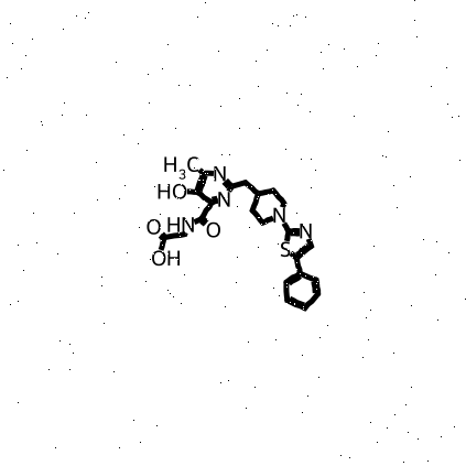 Cc1nc(CC2CCN(c3ncc(-c4ccccc4)s3)CC2)nc(C(=O)NCC(=O)O)c1O